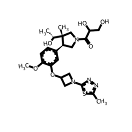 COc1ccc([C@@H]2CN(C(=O)C(O)CO)C[C@@]2(C)[C@@H](C)O)cc1OC1CN(c2nnc(C)s2)C1